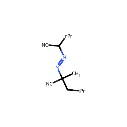 CCCC(C#N)/N=N/C(C)(C#N)CC(C)C